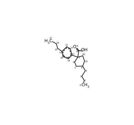 CCCCC1CCC(C(=O)O)(c2ccc(CCC)cc2)CC1